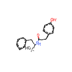 O=C(Cc1ccc(O)cc1)NC(Cc1ccccc1)C(=O)O